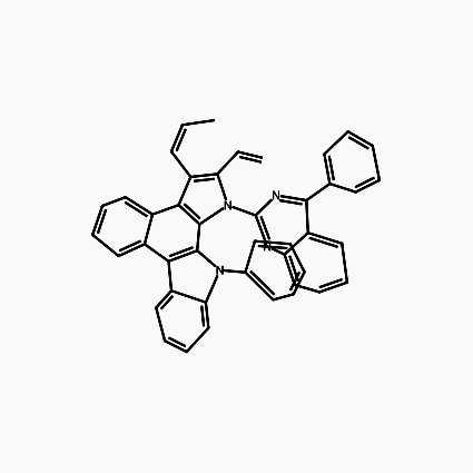 C=Cc1c(/C=C\C)c2c3ccccc3c3c4ccccc4n(-c4ccccc4)c3c2n1-c1nc(-c2ccccc2)c2ccccc2n1